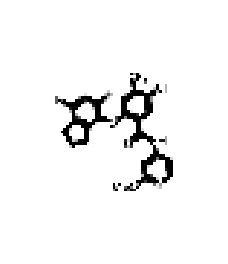 COc1cc(NC(=O)c2cc(Cl)c(C(F)(F)F)cc2Oc2c(F)cc(F)c3c2CCC3)ccn1